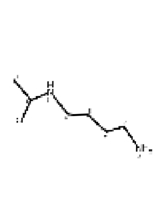 CC(C)NCC[CH]CN